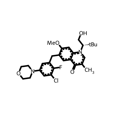 COc1cc2c(cc1Cc1cc(N3CCOCC3)cc(Cl)c1F)c(=O)c(C)cn2[C@H](CO)C(C)(C)C